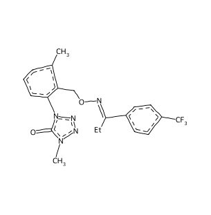 CCC(=NOCc1c(C)cccc1-n1nnn(C)c1=O)c1ccc(C(F)(F)F)cc1